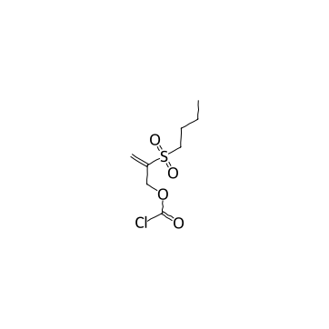 C=C(COC(=O)Cl)S(=O)(=O)CCCC